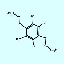 O=S(=O)(O)OCc1c(Br)c(Br)c(COS(=O)(=O)O)c(Br)c1Br